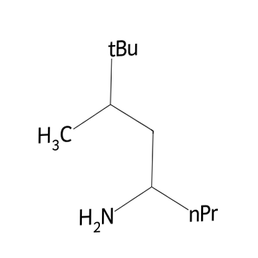 CCCC(N)CC(C)C(C)(C)C